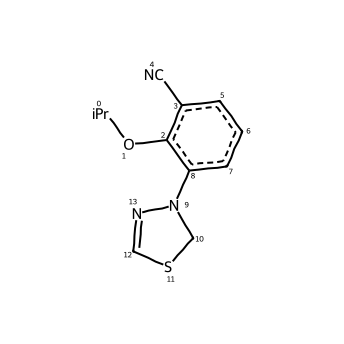 CC(C)Oc1c(C#N)cccc1N1CSC=N1